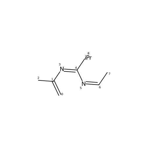 C=C(C)/N=C(\N=C/C)C(C)C